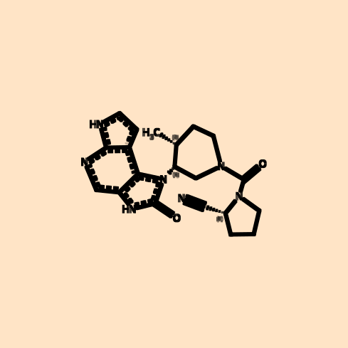 C[C@@H]1CCN(C(=O)N2CCC[C@@H]2C#N)C[C@@H]1n1c(=O)[nH]c2cnc3[nH]ccc3c21